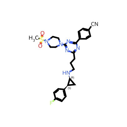 CS(=O)(=O)N1CCN(c2nc(CCCN[C@@H]3C[C@H]3c3ccc(F)cc3)nc(-c3ccc(C#N)cc3)n2)CC1